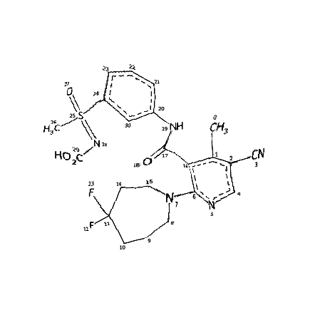 Cc1c(C#N)cnc(N2CCCC(F)(F)CC2)c1C(=O)Nc1cccc(S(C)(=O)=NC(=O)O)c1